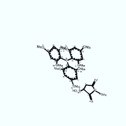 CC(=O)ON1C(=O)CC(S(=O)(=O)O)C1=O.COc1cc(OC)c(P(c2c(OC)cc(OC)cc2OC)c2c(OC)cc(OC)cc2OC)c(OC)c1